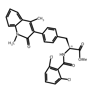 COC(=O)[C@H](Cc1ccc(-c2c(C)c3ccccc3n(C)c2=O)cc1)NC(=O)c1c(Cl)cccc1Cl